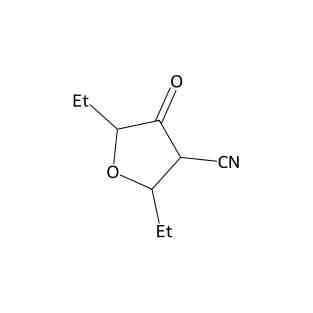 CCC1OC(CC)C(C#N)C1=O